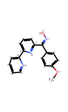 O/N=C(/c1ccc(OC(F)(F)F)cc1)c1cccc(-c2ccccn2)n1